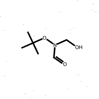 CC(C)(C)ON(C=O)CO